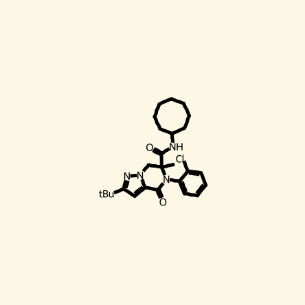 CC(C)(C)c1cc2n(n1)CC(C)(C(=O)NC1CCCCCCC1)N(c1ccccc1Cl)C2=O